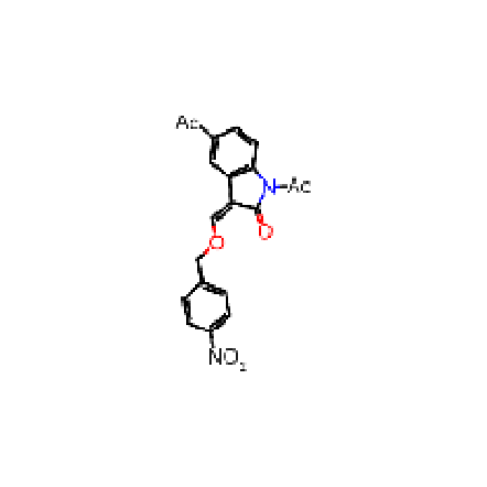 CC(=O)c1ccc2c(c1)C(=COCc1ccc([N+](=O)[O-])cc1)C(=O)N2C(C)=O